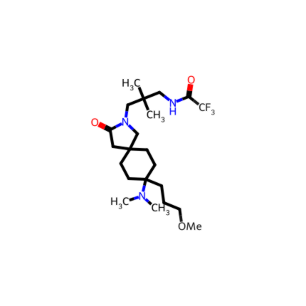 COCCCC1(N(C)C)CCC2(CC1)CC(=O)N(CC(C)(C)CNC(=O)C(F)(F)F)C2